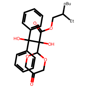 CCCCC(CC)COC(=O)C(O)(C1OCC(=O)CO1)C(O)(c1ccccc1)c1ccccc1